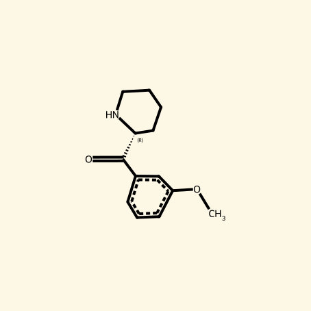 COc1cccc(C(=O)[C@H]2CCCCN2)c1